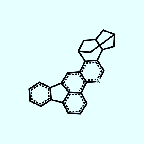 c1ccc2c(c1)-c1cccc3c1c-2cc1c2c(cnc13)C1CC3CC2CC1C3